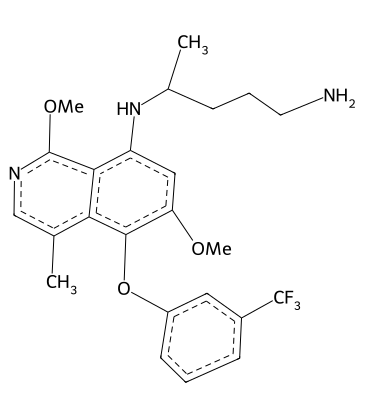 COc1cc(NC(C)CCCN)c2c(OC)ncc(C)c2c1Oc1cccc(C(F)(F)F)c1